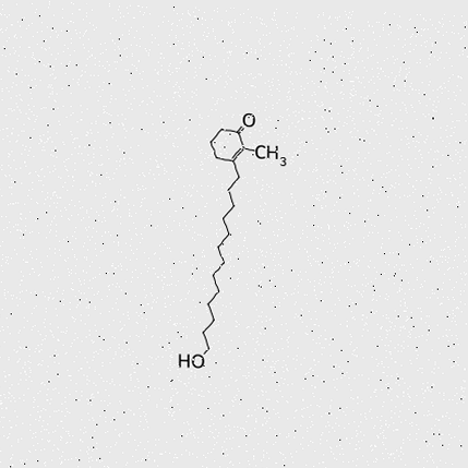 CC1=C(CCCCCCCCCCCCCO)CCCC1=O